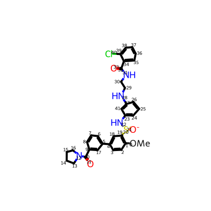 COc1ccc(-c2cccc(C(=O)N3CCCC3)c2)cc1[S+]([O-])Nc1cccc(NCCNC(=O)c2ccccc2Cl)c1